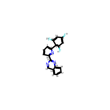 Fc1cc(F)c(-c2cccc(-c3ncc4ccccc4n3)n2)c(F)c1